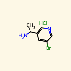 C[C@@H](N)c1cncc(Br)c1.Cl